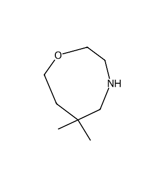 CC1(C)CCOCCNC1